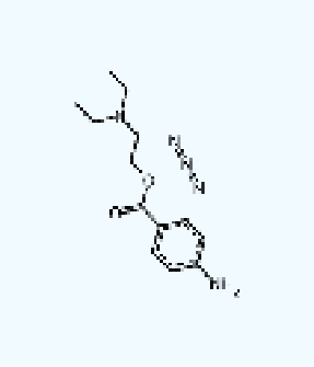 CCN(CC)CCOC(=O)c1ccc(N)cc1.[N-]=[N+]=[N-]